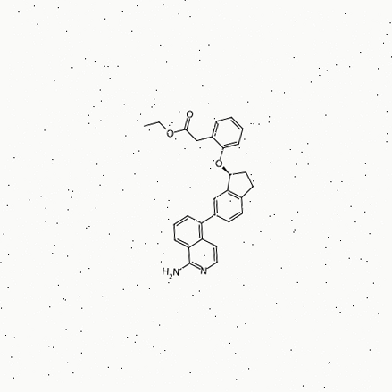 CCOC(=O)Cc1ccccc1O[C@H]1CCc2ccc(-c3cccc4c(N)nccc34)cc21